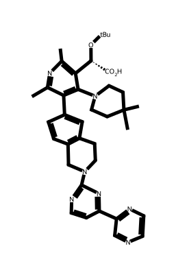 Cc1nc(C)c([C@H](OC(C)(C)C)C(=O)O)c(N2CCC(C)(C)CC2)c1-c1ccc2c(c1)CCN(c1nccc(-c3cnccn3)n1)C2